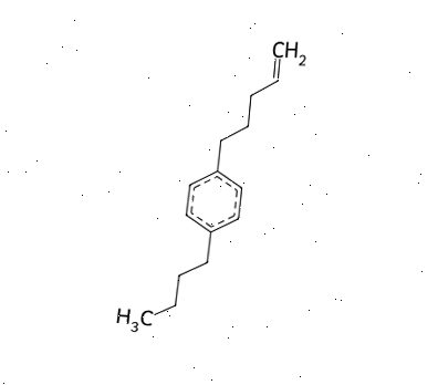 C=CCCCc1ccc(CCCC)cc1